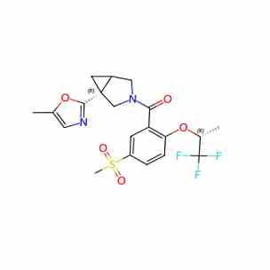 Cc1cnc([C@]23CC2CN(C(=O)c2cc(S(C)(=O)=O)ccc2O[C@H](C)C(F)(F)F)C3)o1